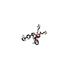 CCO/C=C\c1c(C2CC3CC[C@H](C2)N3C(=O)OC(C)(C)C)nc2c(-c3ccc(-c4ncc[nH]4)nc3)cnn2c1N(COCC[Si](C)(C)C)COCC[Si](C)(C)C